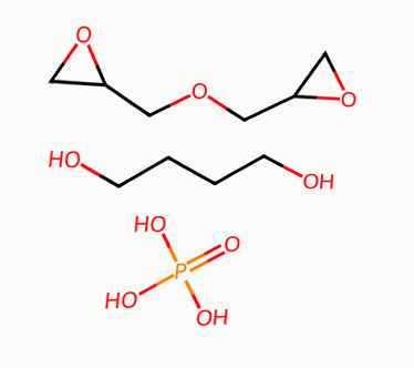 C(OCC1CO1)C1CO1.O=P(O)(O)O.OCCCCO